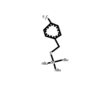 CCC[CH2][Sn]([CH2]CCC)([CH2]CCC)[S]Cc1ccc(C(F)(F)F)cc1